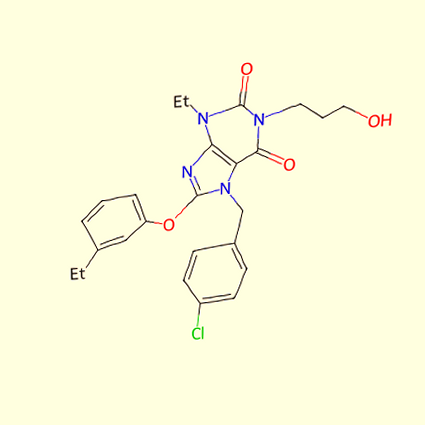 CCc1cccc(Oc2nc3c(c(=O)n(CCCO)c(=O)n3CC)n2Cc2ccc(Cl)cc2)c1